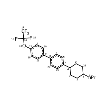 CCCC1CCC(c2ccc(-c3ccc(OC(F)(F)C(F)(F)F)cc3)cc2)CC1